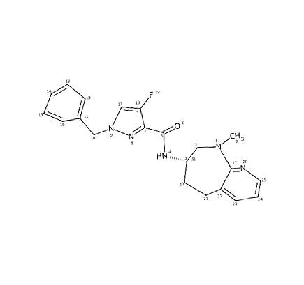 CN1C[C@@H](NC(=O)c2nn(Cc3ccccc3)cc2F)CCc2cccnc21